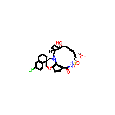 O=C1NS(=O)(=O)C[C@@H](CO)/C=C/C[C@H](O)[C@@H]2CC[C@H]2CN2C[C@@]3(CCCc4cc(Cl)ccc43)COc3ccc1cc32